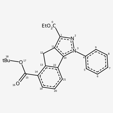 CCOC(=O)c1nn(-c2ccccc2)c2c1Cc1c(C(=O)OC(C)(C)C)cccc1-2